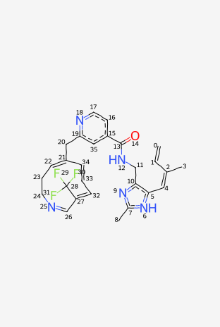 C=C/C(C)=C\c1[nH]c(C)nc1CNC(=O)c1ccnc(CC2=C\CC\N=C/C(C(F)(F)F)=C/C=C/2)c1